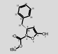 CC(C)(C)OC(=O)N1OC(O)=C[C@H]1Cc1ccccc1